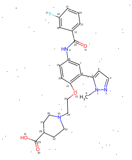 Cn1nccc1-c1cc(NC(=O)c2cccc(F)c2)ccc1OCCN1CCC(C(=O)O)CC1